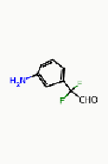 Nc1cccc(C(F)(F)C=O)c1